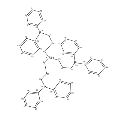 c1ccc(P(CCC[SiH](CCCP(c2ccccc2)c2ccccc2)CCCP(c2ccccc2)c2ccccc2)c2ccccc2)cc1